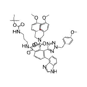 COc1ccc(CN(Cc2ccc(OC)cc2)S(=O)(=O)c2c(S(=O)(=O)NCCCNC(=O)OC(C)(C)C)ccc(-c3cccc4[nH]cnc34)c2-c2nnn(Cc3ccc(OC)cc3)n2)cc1